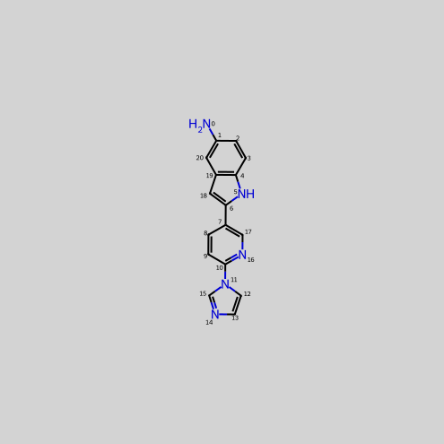 Nc1ccc2[nH]c(-c3ccc(-n4ccnc4)nc3)cc2c1